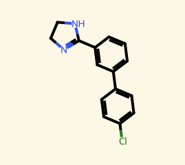 Clc1ccc(-c2cccc(C3=NCCN3)c2)cc1